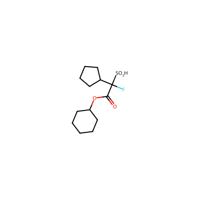 O=C(OC1CCCCC1)C(F)(C1CCCC1)S(=O)(=O)O